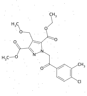 CCOC(=O)c1c(COC)c(C(=O)OC)nn1CC(=O)c1ccc(Cl)c(C)c1